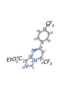 CCOC(=O)c1ncn2c(C(F)(F)F)cc(-c3ccc(C(F)(F)F)cc3)nc12